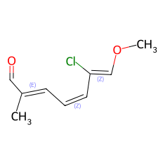 CO/C=C(Cl)/C=C\C=C(/C)C=O